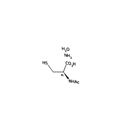 CC(=O)N[C@@H](CS)C(=O)O.N.O